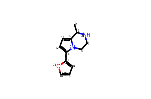 CC1NCCn2c(-c3ccco3)ccc21